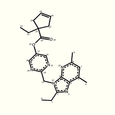 CCc1nc2c(C)cc(C)nc2n1Cc1ncc(OC(=O)C2(CC)CC=CC2)cn1